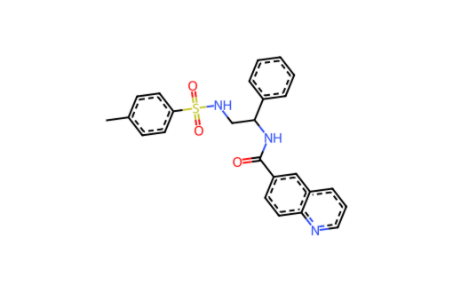 Cc1ccc(S(=O)(=O)NCC(NC(=O)c2ccc3ncccc3c2)c2ccccc2)cc1